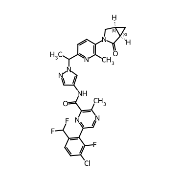 Cc1nc(C(C)n2cc(NC(=O)c3nc(-c4c(C(F)F)ccc(Cl)c4F)cnc3C)cn2)ccc1N1C[C@H]2C[C@H]2C1=O